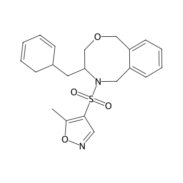 Cc1oncc1S(=O)(=O)N1Cc2ccccc2COCC1CC1C=CC=CC1